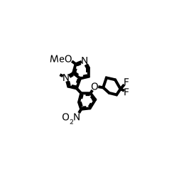 COc1nccc2c(-c3cc([N+](=O)[O-])ccc3OC3CCC(F)(F)CC3)cn(C)c12